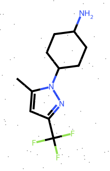 Cc1cc(C(F)(F)F)nn1C1CCC(N)CC1